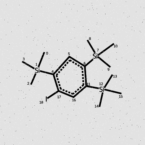 C[Si](C)(C)c1cc([Si](C)(C)C)c([Si](C)(C)C)cc1I